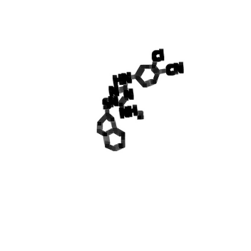 N#Cc1ccc(Nc2nc(N)n(Sc3ccc4ccccc4c3)n2)cc1Cl